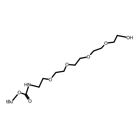 CC(C)(C)OC(=O)NCCOCCOCCOCCOCCO